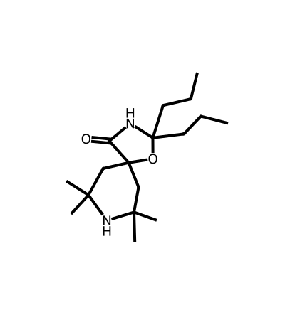 CCCC1(CCC)NC(=O)C2(CC(C)(C)NC(C)(C)C2)O1